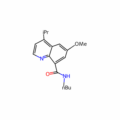 CCCCNC(=O)c1cc(OC)cc2c(C(C)C)ccnc12